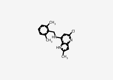 Cc1cc2nc(Cl)cc(NCc3c(C)cccc3C)c2[nH]1